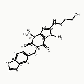 Cn1c(NCCCO)nc2c1c(=O)n(Cc1ccc3sccc3c1)c(=O)n2C